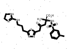 Cc1cccc(S(=O)(=O)N[C@@](N)(CC(=O)Cc2nnc(CCCNC3=NCCN3)s2)C(=O)O)c1